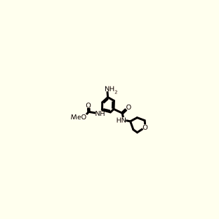 COC(=O)Nc1cc(N)cc(C(=O)NC2CCOCC2)c1